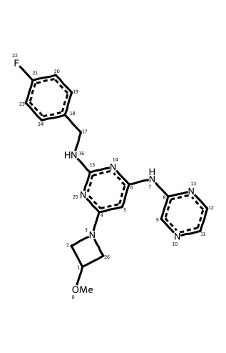 COC1CN(c2cc(Nc3cnccn3)nc(NCc3ccc(F)cc3)n2)C1